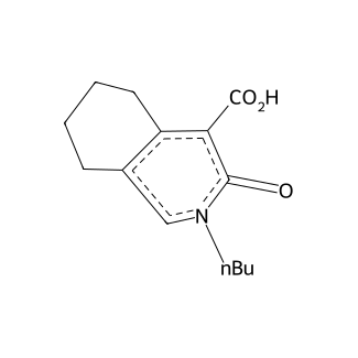 CCCCn1cc2c(c(C(=O)O)c1=O)CCCC2